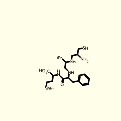 CSCCC(NC(=O)C(Cc1ccccc1)NCC(NCC(N)CS)C(C)C)C(=O)O